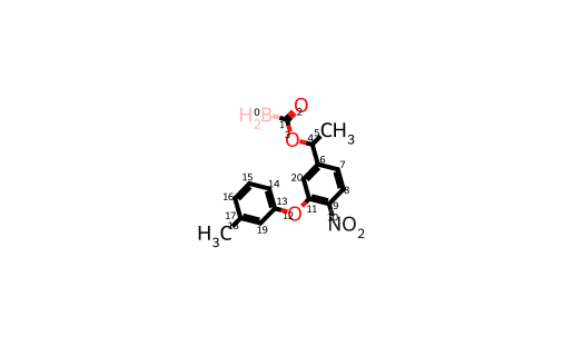 BC(=O)OC(C)c1ccc([N+](=O)[O-])c(Oc2cccc(C)c2)c1